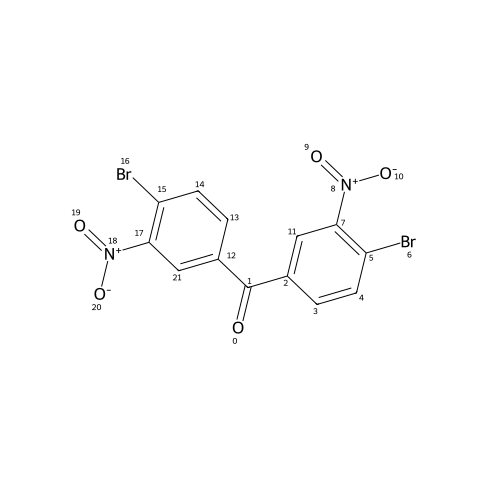 O=C(c1ccc(Br)c([N+](=O)[O-])c1)c1ccc(Br)c([N+](=O)[O-])c1